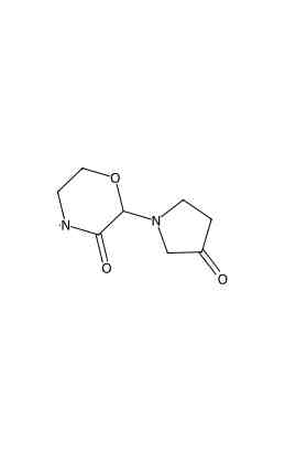 O=C1CCN(C2OCC[N]C2=O)C1